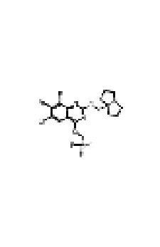 Fc1c(Br)c(Cl)cc2c(OCC(F)(F)F)nc(OCC34CCCN3CCC4)nc12